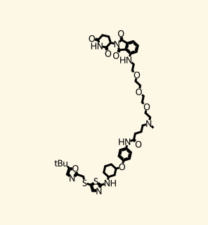 CN(CCCC(=O)Nc1ccc(OC2CCCC(Nc3ncc(SCc4ncc(C(C)(C)C)o4)s3)C2)cc1)CCOCCOCCOCCNc1cccc2c1C(=O)N(C1CCC(=O)NC1=O)C2=O